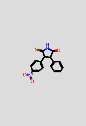 O=C1NC(=S)C(c2ccc([N+](=O)[O-])cc2)C1c1ccccc1